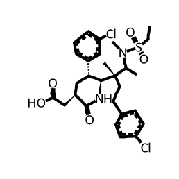 CCS(=O)(=O)N(C)C(C)[C@](C)(CCc1ccc(Cl)cc1)[C@H]1NC(=O)[C@@H](CC(=O)O)C[C@@H]1c1cccc(Cl)c1